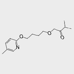 Cc1ccc(OCCCCOCC(=O)C(C)C)nc1